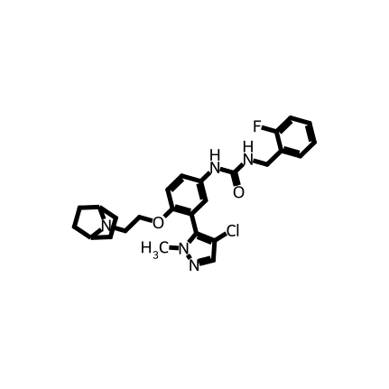 Cn1ncc(Cl)c1-c1cc(NC(=O)NCc2ccccc2F)ccc1OCCN1C2CCC1CC2